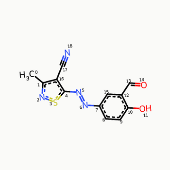 Cc1nsc(N=Nc2ccc(O)c(C=O)c2)c1C#N